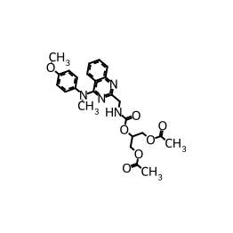 COc1ccc(N(C)c2nc(CNC(=O)OC(COC(C)=O)COC(C)=O)nc3ccccc23)cc1